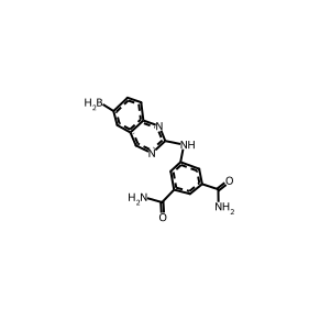 Bc1ccc2nc(Nc3cc(C(N)=O)cc(C(N)=O)c3)ncc2c1